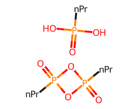 CCCP(=O)(O)O.CCCP1(=O)OP(=O)(CCC)O1